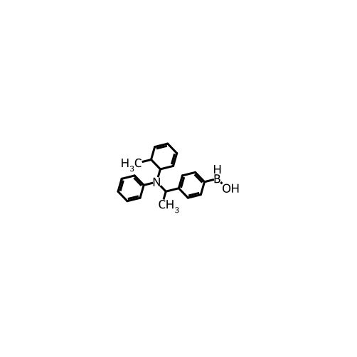 CC1C=CC=CC1N(c1ccccc1)C(C)c1ccc(BO)cc1